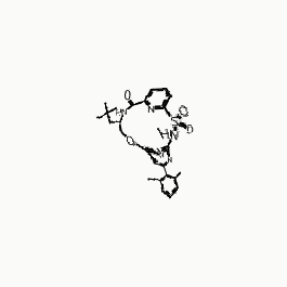 Cc1cccc(C)c1-c1cc2nc(n1)NS(=O)(=O)c1cccc(n1)C(=O)N[C@H](CC(C)(C)C)CO2